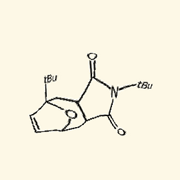 CC(C)(C)N1C(=O)C2C3C=CC(C(C)(C)C)(O3)C2C1=O